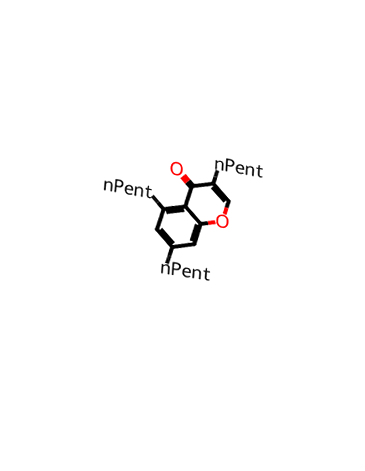 CCCCCc1cc(CCCCC)c2c(=O)c(CCCCC)coc2c1